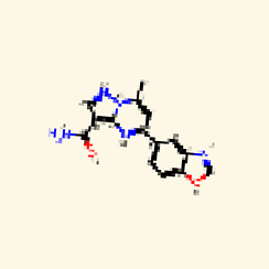 Cc1cc(-c2ccc3ocnc3c2)nc2c(C(N)=O)cnn12